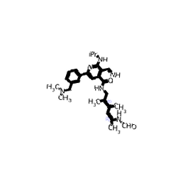 C/C(=C/C(C)=C(\C)CNC(=O)c1cc(-c2cccc(CN(C)C)c2)nc(NC(C)C)c1C=N)NC=O